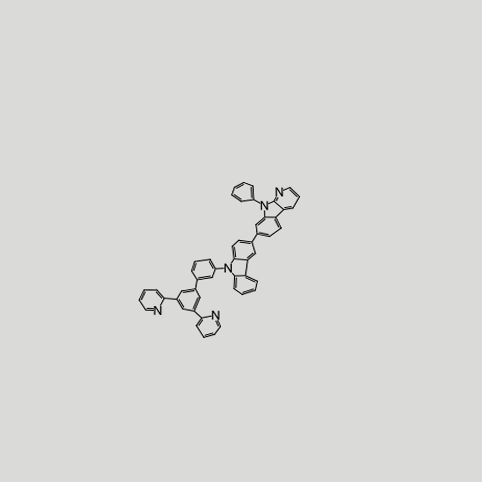 c1ccc(-n2c3cc(-c4ccc5c(c4)c4ccccc4n5-c4cccc(-c5cc(-c6ccccn6)cc(-c6ccccn6)c5)c4)ccc3c3cccnc32)cc1